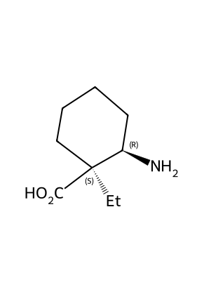 CC[C@]1(C(=O)O)CCCC[C@H]1N